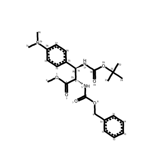 COC(=O)[C@@H](NC(=O)OCc1ccccc1)[C@H](NC(=O)OC(C)(C)C)c1ccc(N(C)C)cc1